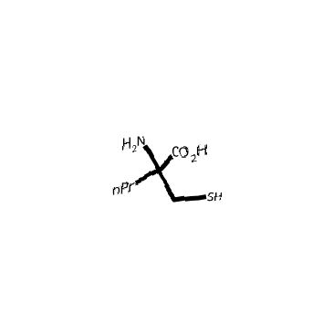 CCCC(N)(CS)C(=O)O